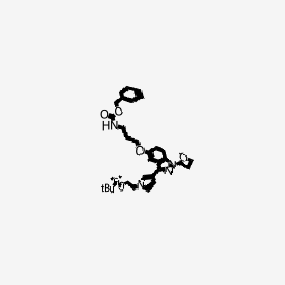 CC(C)(C)[Si](C)(C)OCCn1ccc(-c2nn(C3CCO3)c3ccc(OCCCNC(=O)OCc4ccccc4)cc23)c1